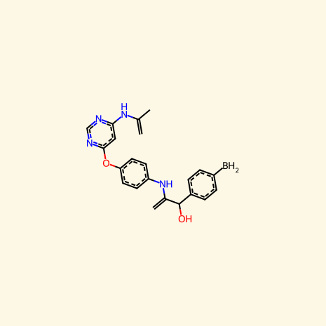 Bc1ccc(C(O)C(=C)Nc2ccc(Oc3cc(NC(=C)C)ncn3)cc2)cc1